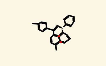 Cc1ccc(C(=CN(c2ccccc2)c2ccccc2)c2ccc(C)cc2)cc1